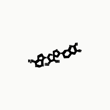 Nc1ncnc2c1ccn2[C@@H]1C[C@@]2(CS[C@H](c3ccc4cc(Br)c(Cl)nc4c3)C2)[C@@H](O)[C@H]1O